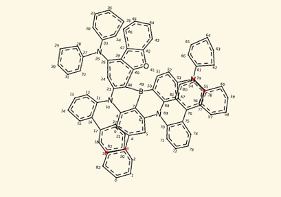 c1ccc(-c2cc3c4c(c2)N(c2ccccc2-c2ccccc2)c2cc(N(c5ccccc5)c5ccccc5)c5c(oc6ccccc65)c2B4c2ccc(N(c4ccccc4)c4ccccc4)cc2N3c2ccccc2-c2ccccc2)cc1